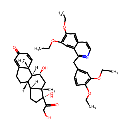 CCOc1ccc(Cc2nccc3cc(OCC)c(OCC)cc23)cc1OCC.C[C@]12C=CC(=O)C=C1CC[C@@H]1[C@@H]2[C@@H](O)C[C@@]2(C)[C@H]1CC[C@]2(O)C(=O)CO